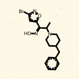 CC(C(=NO)c1cc(Br)no1)N1CCC(Cc2ccccc2)CC1